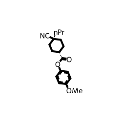 CCC[C@]1(C#N)CC[C@H](C(=O)Oc2ccc(OC)cc2)CC1